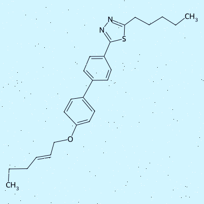 CCC/C=C/COc1ccc(-c2ccc(-c3nnc(CCCCC)s3)cc2)cc1